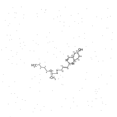 CCCCCOC(C)CCC/C=C/c1ncc2cc(O)ccc2n1